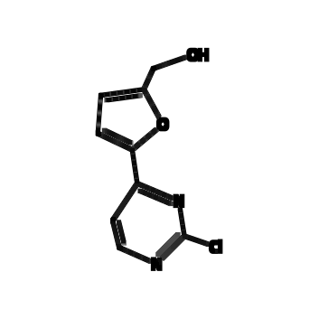 OCc1ccc(-c2ccnc(Cl)n2)o1